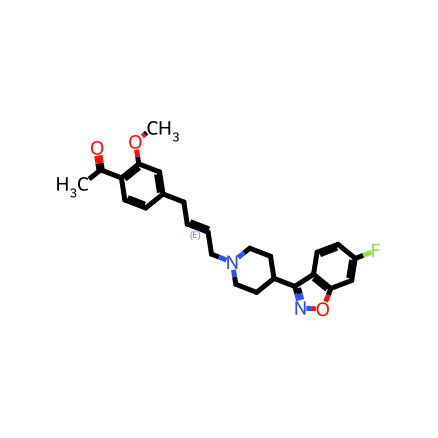 COc1cc(C/C=C/CN2CCC(c3noc4cc(F)ccc34)CC2)ccc1C(C)=O